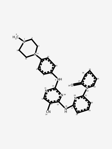 CN1CCN(c2ccc(Nc3ncc(C#N)c(Nc4cccc(-n5ccccc5=O)n4)n3)cc2)CC1